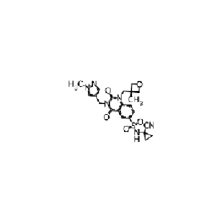 Cn1cc(Cn2c(=O)c3cc(S(=O)(=O)NC4(C#N)CC4)ccc3n(CC3(C)COC3)c2=O)cn1